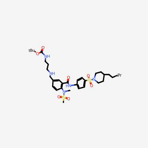 CC(C)CCC1CCN(S(=O)(=O)c2ccc(NC(=O)c3cc(CNCCCNC(=O)OC(C)(C)C)ccc3N(C)S(C)(=O)=O)cc2)CC1